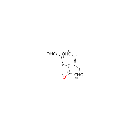 C/C=C/C=O.O=CCCCC(O)C=O